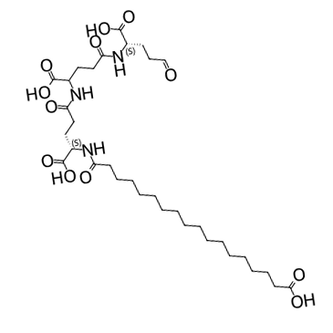 O=CCC[C@H](NC(=O)CCC(NC(=O)CC[C@H](NC(=O)CCCCCCCCCCCCCCCCC(=O)O)C(=O)O)C(=O)O)C(=O)O